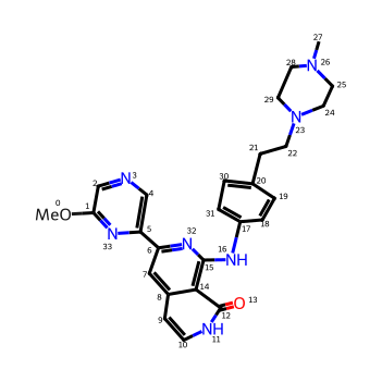 COc1cncc(-c2cc3cc[nH]c(=O)c3c(Nc3ccc(CCN4CCN(C)CC4)cc3)n2)n1